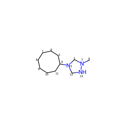 CN1CN(C2CCCCCCC2)CN1